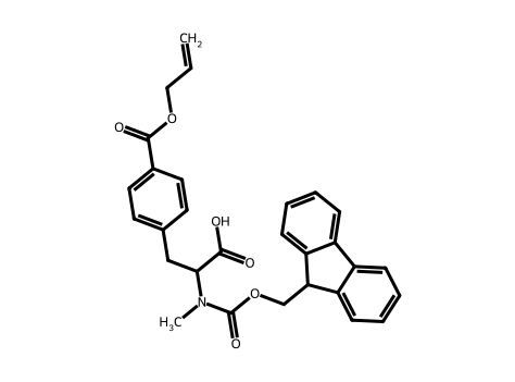 C=CCOC(=O)c1ccc(CC(C(=O)O)N(C)C(=O)OCC2c3ccccc3-c3ccccc32)cc1